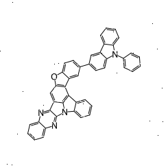 c1ccc(-n2c3ccccc3c3cc(-c4ccc5oc6cc7c8nc9ccccc9nc8n8c9ccccc9c(c6c5c4)c78)ccc32)cc1